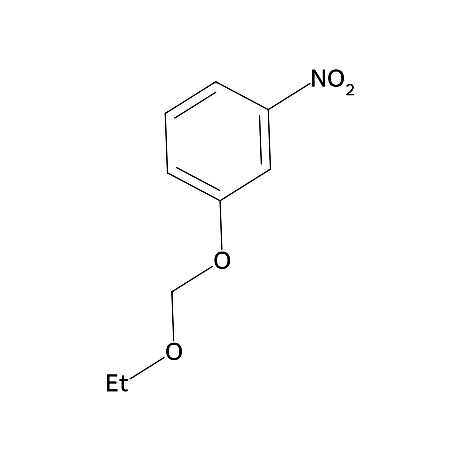 CCOCOc1cccc([N+](=O)[O-])c1